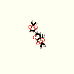 CC1(C)OCC([C@@H]2C[C@H]3OC(C)(C)OC3O2)O1